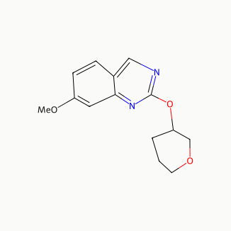 COc1ccc2cnc(OC3CCCOC3)nc2c1